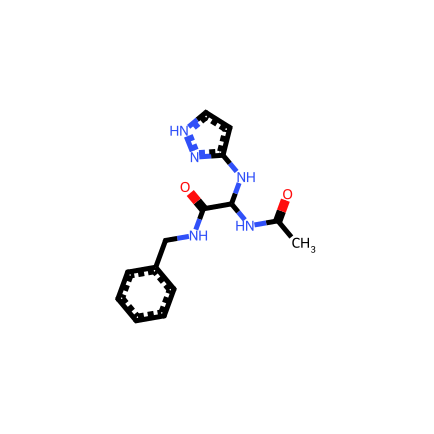 CC(=O)NC(Nc1cc[nH]n1)C(=O)NCc1ccccc1